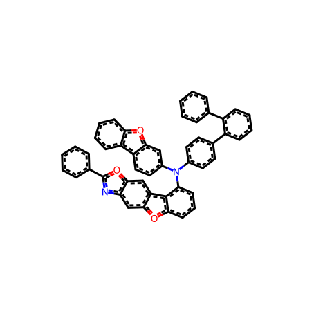 c1ccc(-c2nc3cc4oc5cccc(N(c6ccc(-c7ccccc7-c7ccccc7)cc6)c6ccc7c(c6)oc6ccccc67)c5c4cc3o2)cc1